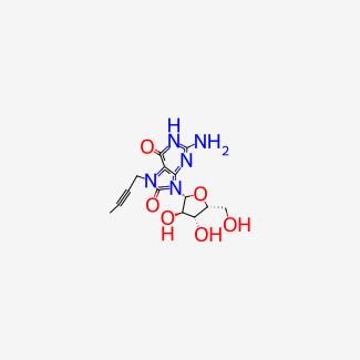 CC#CCn1c(=O)n([C@@H]2O[C@H](CO)[C@H](O)[C@H]2O)c2nc(N)[nH]c(=O)c21